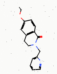 O=CCOc1ccc2c(c1)CCN(Cc1ccccn1)C2=O